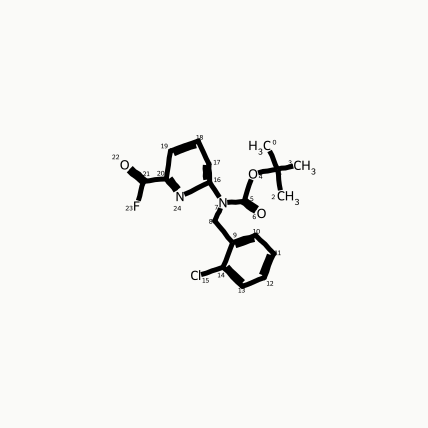 CC(C)(C)OC(=O)N(Cc1ccccc1Cl)c1cccc(C(=O)F)n1